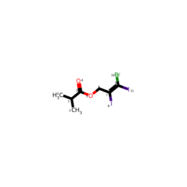 CC(C)C(=O)OC/C(I)=C(\Br)I